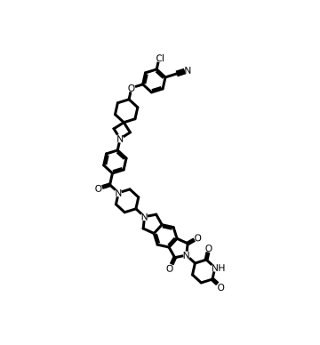 N#Cc1ccc(OC2CCC3(CC2)CN(c2ccc(C(=O)N4CCC(N5Cc6cc7c(cc6C5)C(=O)N(C5CCC(=O)NC5=O)C7=O)CC4)cc2)C3)cc1Cl